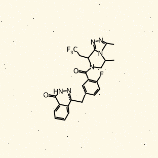 Cc1nnc2n1C(C)CN(C(=O)c1cc(Cc3n[nH]c(=O)c4ccccc34)ccc1F)C2CC(F)(F)F